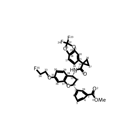 COC(=O)c1cccc([C@H]2C[C@@H](NC(=O)C3(c4ccc5c(c4)OC(F)(F)O5)CC3)c3ccc(OCCF)cc3O2)c1